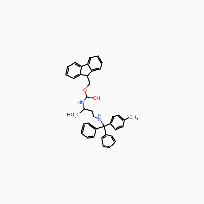 Cc1ccc(C(NCCC(NC(O)OCC2c3ccccc3-c3ccccc32)C(=O)O)(c2ccccc2)c2ccccc2)cc1